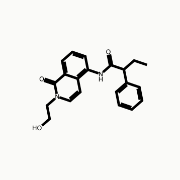 CCC(C(=O)Nc1cccc2c(=O)n(CCO)ccc12)c1ccccc1